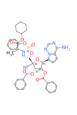 CC(N[P@](=O)(OC[C@@]1(C#N)O[C@@H](c2ccc3c(N)ncnn23)[C@@H](OC(=O)c2ccccc2)[C@@H]1OC(=O)c1ccccc1)Oc1ccccc1)C(=O)OC1CCCCC1